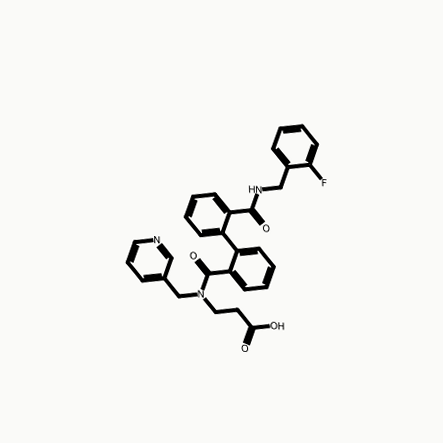 O=C(O)CCN(Cc1cccnc1)C(=O)c1ccccc1-c1ccccc1C(=O)NCc1ccccc1F